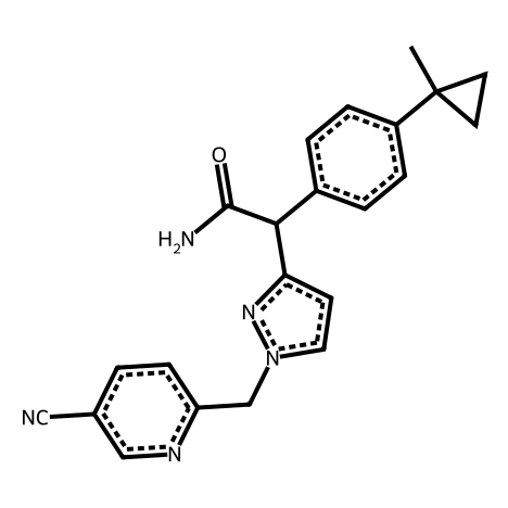 CC1(c2ccc(C(C(N)=O)c3ccn(Cc4ccc(C#N)cn4)n3)cc2)CC1